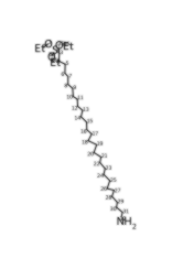 CCO[Si](CCCCCCCCCCCCCCCCCCCCCCCCCCCCCN)(OCC)OCC